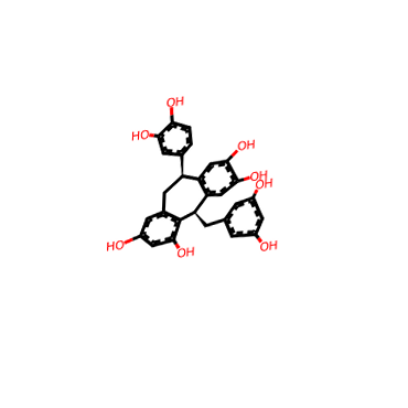 Oc1cc(O)cc(C[C@@H]2c3cc(O)c(O)cc3[C@H](c3ccc(O)c(O)c3)Cc3cc(O)cc(O)c32)c1